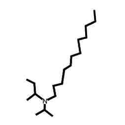 CCCCCCCCCCCCN(C(C)C)C(C)CC